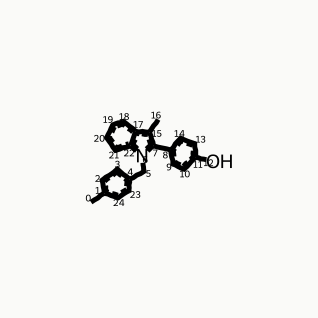 Cc1ccc(Cn2c(-c3ccc(O)cc3)c(C)c3ccccc32)cc1